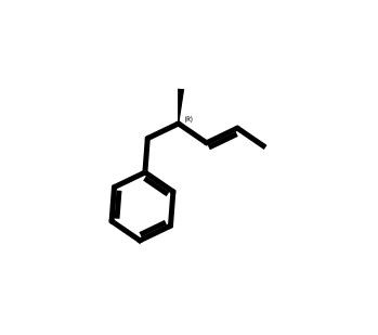 CC=C[C@H](C)Cc1cc[c]cc1